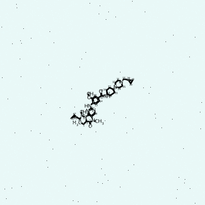 CCC1C(=O)N(C)c2cnc(Nc3ccc(C(=O)NC4CCC(N5CCN(CC6CC6)CC5)CC4)cc3OC)nc2N1N(C)CC1CC1